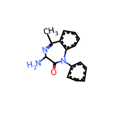 CC1=NC(N)C(=O)N(c2ccccc2)c2ccccc21